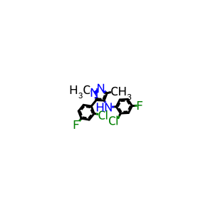 Cc1nn(C)c(-c2ccc(F)cc2Cl)c1Nc1ccc(F)cc1Cl